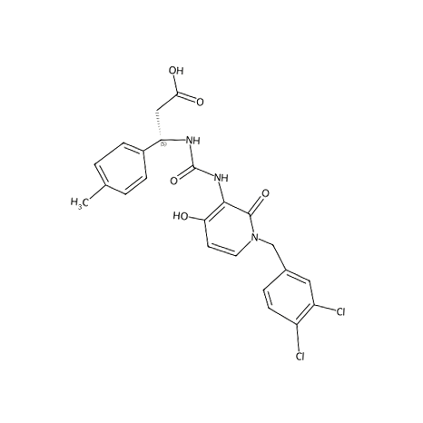 Cc1ccc([C@H](CC(=O)O)NC(=O)Nc2c(O)ccn(Cc3ccc(Cl)c(Cl)c3)c2=O)cc1